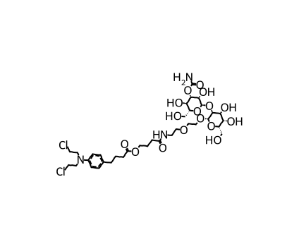 NC(=O)O[C@@H]1[C@H](O)[C@@H](O[C@@H]2[C@@H](OCCOCCNC(=O)CCCOC(=O)CCCc3ccc(N(CCCl)CCCl)cc3)O[C@@H](CO)[C@@H](O)[C@@H]2O)O[C@H](CO)[C@H]1O